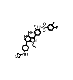 CCn1nc(-c2ccc(NS(=O)(=O)c3ccc(F)c(C)c3)c(F)c2)c2c(N)ncc(C3=CC[C@@H](NC4COC4)CC3)c21